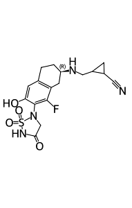 N#CC1CC1CN[C@@H]1CCc2cc(O)c(N3CC(=O)NS3(=O)=O)c(F)c2C1